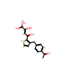 CC(=O)c1ccc(Cc2ccsc2C(=O)C=C(O)C(=O)O)cc1